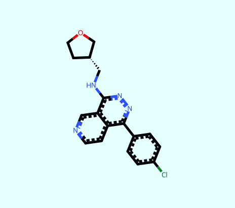 Clc1ccc(-c2nnc(NC[C@@H]3CCOC3)c3cnccc23)cc1